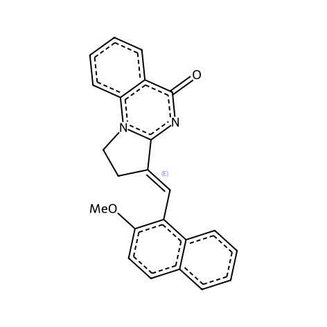 COc1ccc2ccccc2c1/C=C1\CCn2c1nc(=O)c1ccccc12